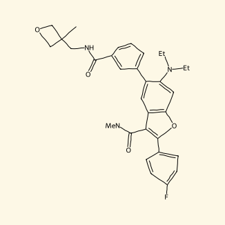 CCN(CC)c1cc2oc(-c3ccc(F)cc3)c(C(=O)NC)c2cc1-c1cccc(C(=O)NCC2(C)COC2)c1